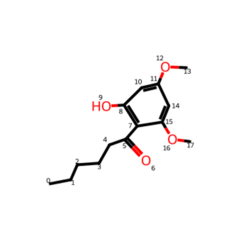 CCCCCC(=O)c1c(O)cc(OC)cc1OC